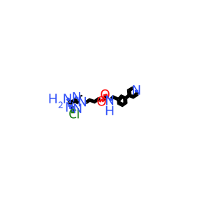 Nc1nc(Cl)nc2c1ncn2CCCCOC(=O)NCc1cccc(-c2ccncc2)c1